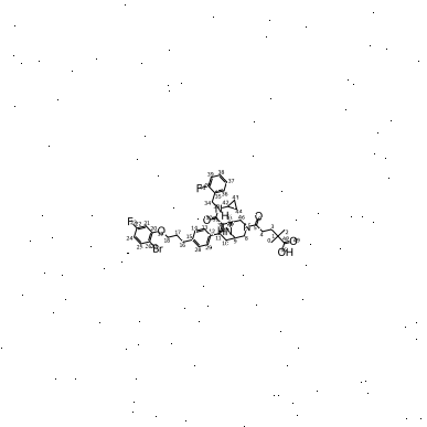 CC(C)(CCC(=O)N1CC2CC(c3ccc(CCCOc4cc(F)ccc4Br)cc3)=C(C(=O)N(Cc3ccccc3F)C3CC3)[C@@H](C1)N2)C(=O)O